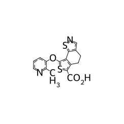 Cc1ncccc1Oc1sc(C(=O)O)c2c1-c1sncc1CC2